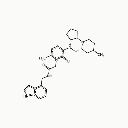 Cc1cnc(NC[C@H]2C[C@H](C)CCN2C2CCCC2)c(=O)n1CC(=O)NCc1cccc2[nH]ccc12